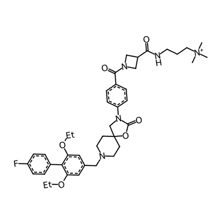 CCOc1cc(CN2CCC3(CC2)CN(c2ccc(C(=O)N4CC(C(=O)NCCC[N+](C)(C)C)C4)cc2)C(=O)O3)cc(OCC)c1-c1ccc(F)cc1